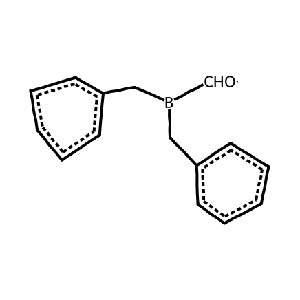 O=[C]B(Cc1ccccc1)Cc1ccccc1